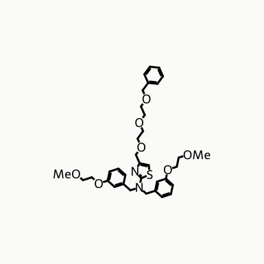 COCCOc1cccc(CN(Cc2cccc(OCCOC)c2)c2nc(COCCOCCOCc3ccccc3)cs2)c1